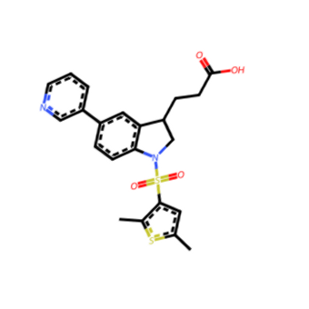 Cc1cc(S(=O)(=O)N2CC(CCC(=O)O)c3cc(-c4cccnc4)ccc32)c(C)s1